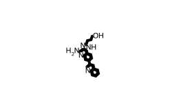 Nc1nc2cc(-c3cnc4ccccc4c3)ccc2c2[nH]c(CCCO)nc12